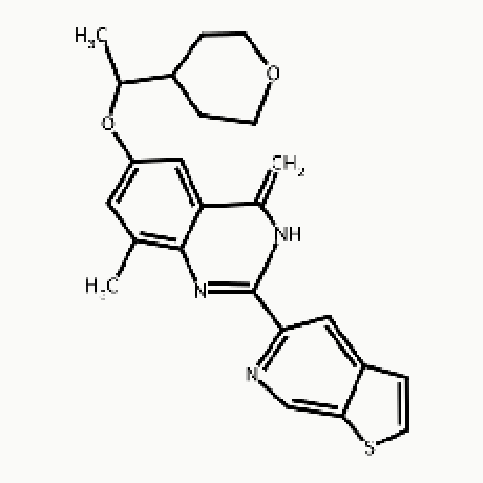 C=C1NC(c2cc3ccsc3cn2)=Nc2c(C)cc(OC(C)C3CCOCC3)cc21